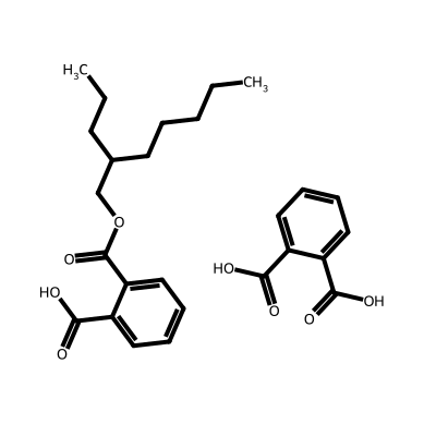 CCCCCC(CCC)COC(=O)c1ccccc1C(=O)O.O=C(O)c1ccccc1C(=O)O